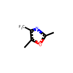 Cc1nc(C(F)(F)F)c(C)o1